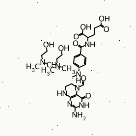 CN(C)CCO.CN(C)CCO.Nc1nc2c(c(=O)[nH]1)N(C=O)[C@@H](CNc1ccc(C(=O)NC(CCC(=O)O)C(=O)O)cc1)CN2